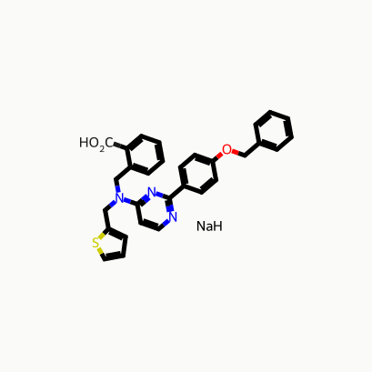 O=C(O)c1ccccc1CN(Cc1cccs1)c1ccnc(-c2ccc(OCc3ccccc3)cc2)n1.[NaH]